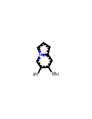 CC(C)c1cn2cccc2cc1C(C)(C)C